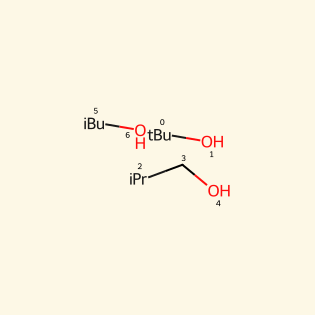 CC(C)(C)O.CC(C)CO.CCC(C)O